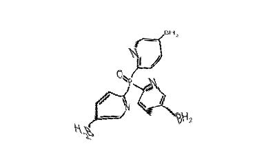 Bc1ccc(P(=O)(c2ccc(B)cn2)c2ccc(B)cn2)nc1